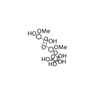 COc1cc(C2OC(O)C3C(c4ccc(OC5O[C@H](CO)[C@@H](O)[C@H](O)[C@H]5O)c(OC)c4)OCC23)ccc1O